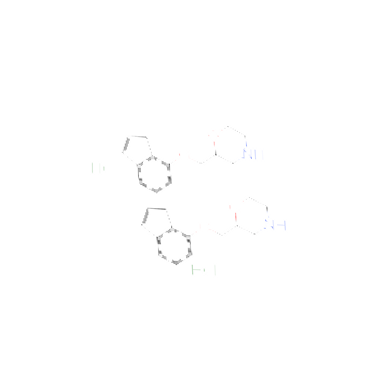 C1=Cc2cccc(OCC3CNCCO3)c2C1.C1=Cc2cccc(OCC3CNCCO3)c2C1.Cl.Cl